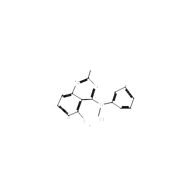 CN(c1ccccc1)c1nc(Cl)nc2cccc(Br)c12